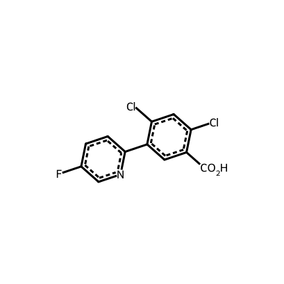 O=C(O)c1cc(-c2ccc(F)cn2)c(Cl)cc1Cl